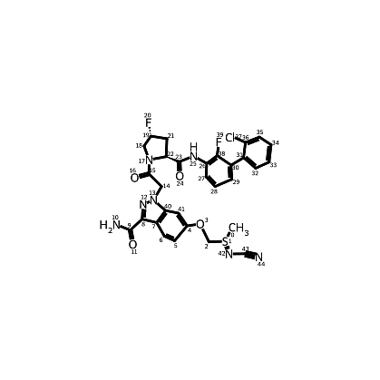 C/S(COc1ccc2c(C(N)=O)nn(CC(=O)N3C[C@H](F)C[C@H]3C(=O)Nc3cccc(-c4ccccc4Cl)c3F)c2c1)=N\C#N